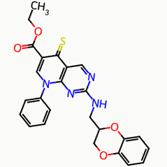 CCOC(=O)c1cn(-c2ccccc2)c2nc(NCC3COc4ccccc4O3)ncc2c1=S